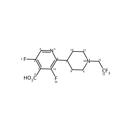 O=C(O)c1c(F)cnc(C2CCN(CC(F)(F)F)CC2)c1F